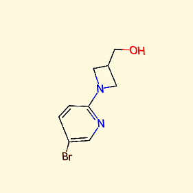 OCC1CN(c2ccc(Br)cn2)C1